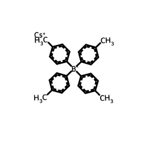 Cc1ccc([B-](c2ccc(C)cc2)(c2ccc(C)cc2)c2ccc(C)cc2)cc1.[Cs+]